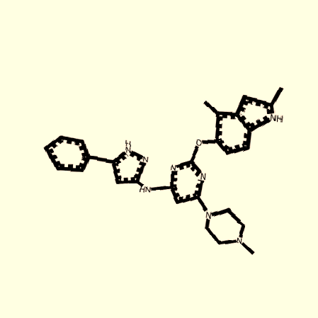 Cc1cc2c(C)c(Oc3nc(Nc4cc(-c5ccccc5)[nH]n4)cc(N4CCN(C)CC4)n3)ccc2[nH]1